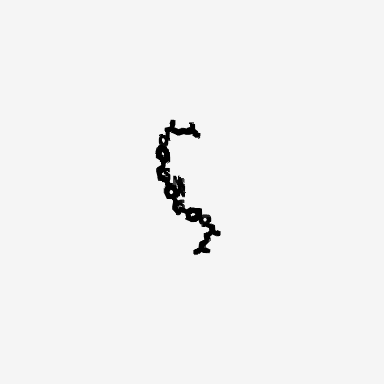 CC(C)=CCCC(C)CCOc1ccc(-c2ccc(-c3ccc(-c4ccc(-c5ccc(OCCC(C)CCC=C(C)C)cc5)s4)c4nsnc34)s2)cc1